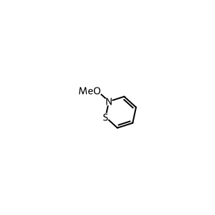 CON1C=CC=CS1